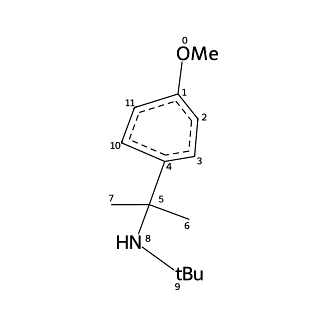 COc1ccc(C(C)(C)NC(C)(C)C)cc1